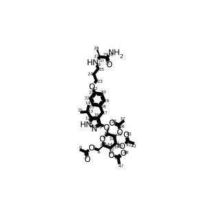 CC(=O)OC[C@H]1O[C@@H](Oc2n[nH]c(C(C)C)c2Cc2ccc(OCCCN[C@@H](C)C(N)=O)cc2)[C@H](OC(C)=O)[C@@H](OC(C)=O)[C@@H]1OC(C)=O